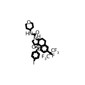 O=C(NC1CCOCC1)N1CC[C@@]2(S(=O)(=O)c3ccc(I)cc3)c3ccc(C(F)(C(F)(F)F)C(F)(F)F)cc3CC[C@@H]12